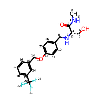 CNC(=O)[C@H](CO)NCc1ccc(OCc2cccc(C(F)(F)F)c2)cc1